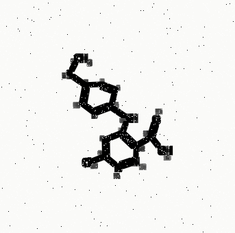 CSc1ccc(Nc2cc(Cl)nnc2C(=O)O)cc1